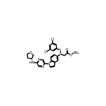 CC(C)(C)OC(=O)CN(Sc1cc(Cl)cc(Cl)c1)c1ccc2c(ccn2-c2cnc(N[C@@H]3CCOC3)cn2)c1